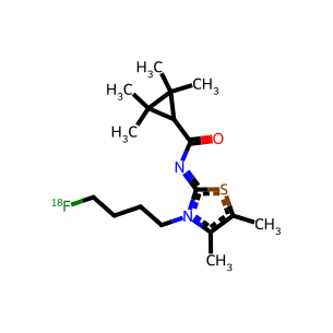 Cc1s/c(=N\C(=O)C2C(C)(C)C2(C)C)n(CCCC[18F])c1C